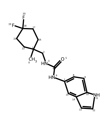 CC1(CNC(=O)Nc2ccc3[nH]ccc3c2)CCC(F)(F)CC1